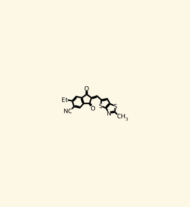 CCc1cc2c(cc1C#N)C(=O)/C(=C\c1cc3sc(C)nc3s1)C2=O